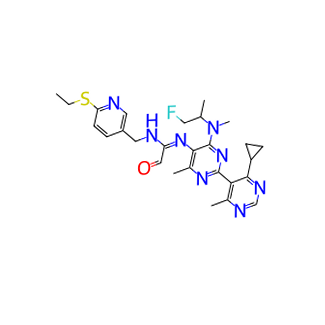 CCSc1ccc(CN/C(C=O)=N/c2c(C)nc(-c3c(C)ncnc3C3CC3)nc2N(C)C(C)CF)cn1